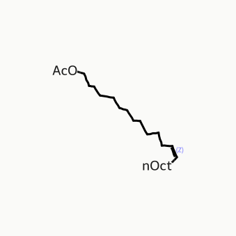 [CH2]C(=O)OCCCCCCCCCCCC/C=C\CCCCCCCC